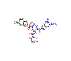 NC1Cc2nc(C(=O)N3CCN(S(=O)(=O)c4cc5ccc(Cl)cc5s4)CC3CC(=O)N3CCOCC3)sc2CN1